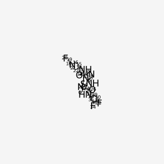 Cc1nsc(Nc2cncc(C(=O)NC3CCN(CCF)CC3)n2)c1C(=O)Nc1ccc(F)c(F)c1